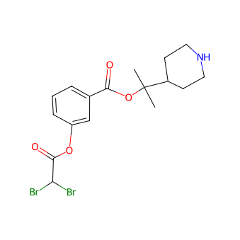 CC(C)(OC(=O)c1cccc(OC(=O)C(Br)Br)c1)C1CCNCC1